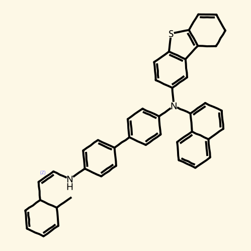 CC1C=CC=CC1/C=C\Nc1ccc(-c2ccc(N(c3ccc4sc5c(c4c3)CCC=C5)c3cccc4ccccc34)cc2)cc1